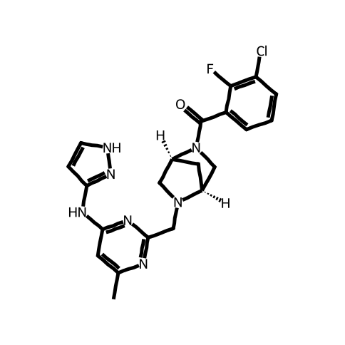 Cc1cc(Nc2cc[nH]n2)nc(CN2C[C@@H]3C[C@H]2CN3C(=O)c2cccc(Cl)c2F)n1